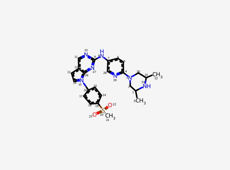 CC1CN(c2ccc(Nc3ncc4ccn(-c5ccc(S(C)(=O)=O)cc5)c4n3)cn2)CC(C)N1